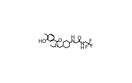 CCN(CC1CCC(NCC(=O)NCC(F)(F)F)CC1)C(=O)c1ccc(C)c(O)c1